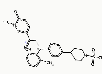 Cc1ccccc1[C@H](C/C(=N\O)c1ccc(=O)n(C)n1)c1ccc(C2CCN(S(C)(=O)=O)CC2)cc1